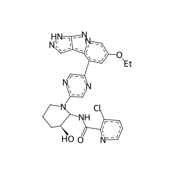 CCOc1cc(-c2cnc(N3CCC[C@H](O)C3NC(=O)c3ncccc3Cl)cn2)c2c3cn[nH]c3nn2c1